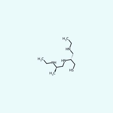 CCNC[C@H](CS)NC[C@@H](C)NCC